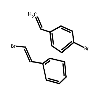 Br/C=C/c1ccccc1.C=Cc1ccc(Br)cc1